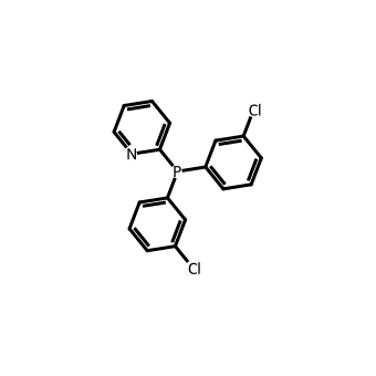 Clc1cccc(P(c2cccc(Cl)c2)c2ccccn2)c1